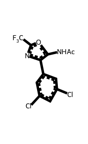 CC(=O)Nc1oc(C(F)(F)F)nc1-c1cc(Cl)cc(Cl)c1